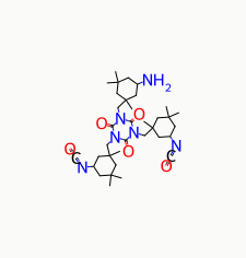 CC1(C)CC(N)CC(C)(Cn2c(=O)n(CC3(C)CC(N=C=O)CC(C)(C)C3)c(=O)n(CC3(C)CC(N=C=O)CC(C)(C)C3)c2=O)C1